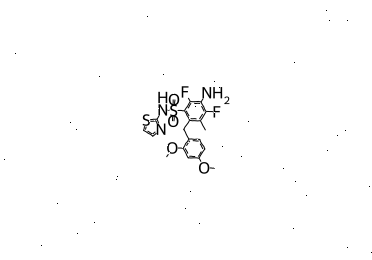 COc1ccc(Cc2c(C)c(F)c(N)c(F)c2S(=O)(=O)Nc2nccs2)c(OC)c1